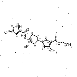 CCOC(=O)c1sc(N2CC[C@@H](NC(=O)c3cc(Cl)c[nH]3)[C@@H](F)C2)nc1C